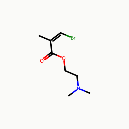 CC(=CBr)C(=O)OCCN(C)C